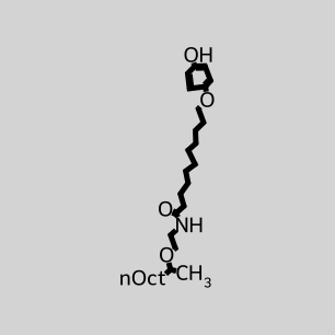 CCCCCCCCC(C)OCCNC(=O)CCCCCCCCCCOc1ccc(O)cc1